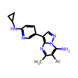 CC(=O)c1c(C)nc2c(-c3ccc(NC4CC4)nc3)cnn2c1N